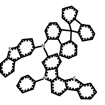 c1ccc(-n2c3cc(N(c4ccc5sc6ccccc6c5c4)c4cccc5c4-c4ccccc4C54c5ccccc5-c5ccccc54)ccc3c3c4sc5ccccc5c4ccc32)cc1